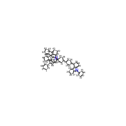 c1ccc(-c2ccc(N(c3ccc(-c4ccc(-c5cccc6c5c5ccccc5n6-c5ccccc5)cc4)cc3)c3cccc4c3C3(c5ccccc5-c5ccccc53)c3ccccc3-4)cc2)cc1